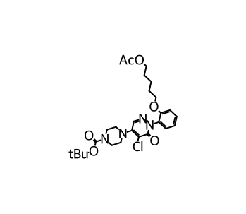 CC(=O)OCCCCCOc1ccccc1-n1ncc(N2CCN(C(=O)OC(C)(C)C)CC2)c(Cl)c1=O